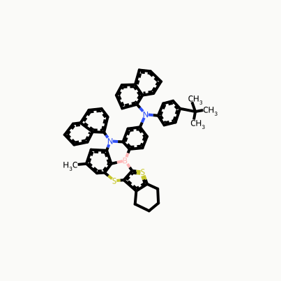 Cc1cc2c3c(c1)N(c1cccc4ccccc14)c1cc(N(c4ccc(C(C)(C)C)cc4)c4cccc5ccccc45)ccc1B3c1sc3c(c1S2)CCCC3